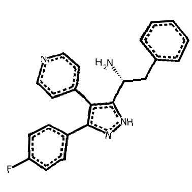 N[C@H](Cc1ccccc1)c1[nH]nc(-c2ccc(F)cc2)c1-c1ccncc1